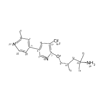 Cc1cc(-c2cnc(OCC(C)CC(C)(C)N)c(C(F)(F)F)c2)ccn1